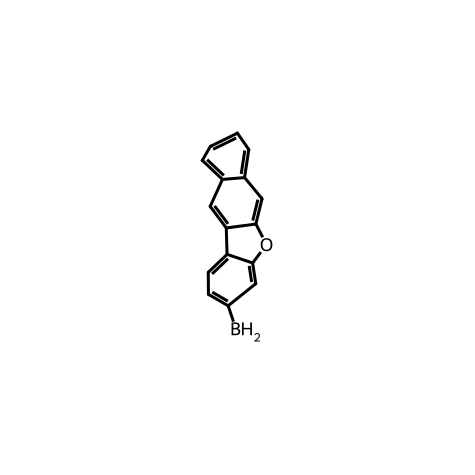 Bc1ccc2c(c1)oc1cc3ccccc3cc12